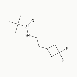 CC(C)(C)[S+]([O-])NCCC1CC(F)(F)C1